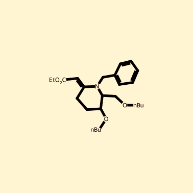 CCCCOCC1C(OCCCC)CC/C(=C\C(=O)OCC)N1Cc1ccccc1